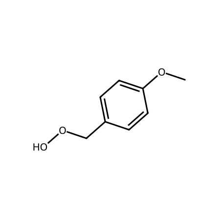 COc1ccc(COO)cc1